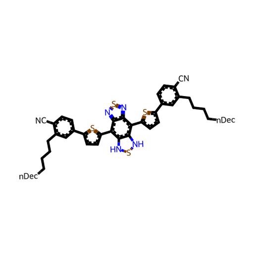 CCCCCCCCCCCCCCc1cc(-c2ccc(-c3c4c(c(-c5ccc(-c6ccc(C#N)c(CCCCCCCCCCCCCC)c6)s5)c5nsnc35)NSN4)s2)ccc1C#N